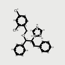 Clc1ccc(COC(C(=Cc2ccccc2)n2cncn2)c2ccccc2)c(Cl)c1